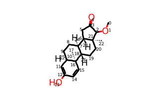 COC1C(=O)C[C@H]2[C@@H]3CC[C@@H]4C=C(O)C=C[C@]4(C)[C@H]3CC[C@]12C